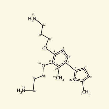 Cc1ccc(-c2ccc(OCCCN)c(OCCCN)c2C)s1